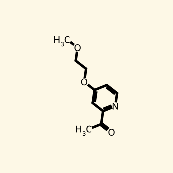 COCCOc1ccnc(C(C)=O)c1